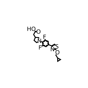 O=C(O)CC1CCN(c2c(F)cc(-c3csc(OCC4CC4)n3)cc2F)C1